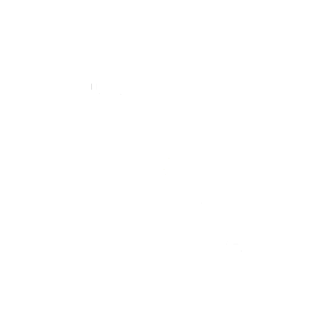 C=CCc1ccc(SSc2ccc(CC=C)cc2)cc1